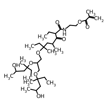 C=C(C)C(=O)OCCNC(=O)C(CC)C(=O)C(C)CC(C)(CC)OCC(COC(C)(CC)CC(C)O)OC(C)(CC)CC(C)O